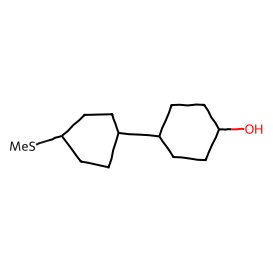 CSC1CCC(C2CCC(O)CC2)CC1